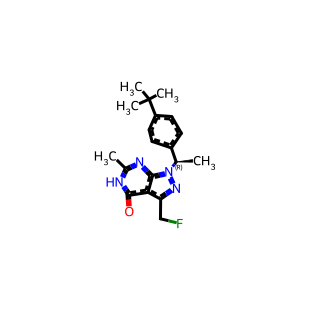 Cc1nc2c(c(CF)nn2[C@H](C)c2ccc(C(C)(C)C)cc2)c(=O)[nH]1